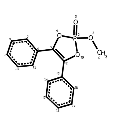 COP1(=O)OC(c2ccccc2)=C(c2ccccc2)O1